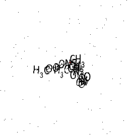 COCCOCCOCCN(CC(C)(C)SC1CC(=O)N(CCC(=O)ON2C(=O)CCC2=O)C1=O)C(C)C